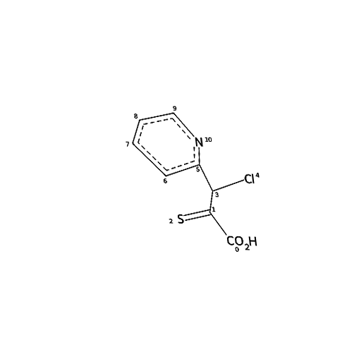 O=C(O)C(=S)C(Cl)c1ccccn1